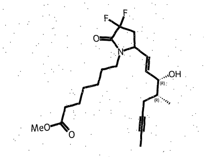 CC#CC[C@@H](C)[C@@H](O)C=CC1CC(F)(F)C(=O)N1CCCCCCC(=O)OC